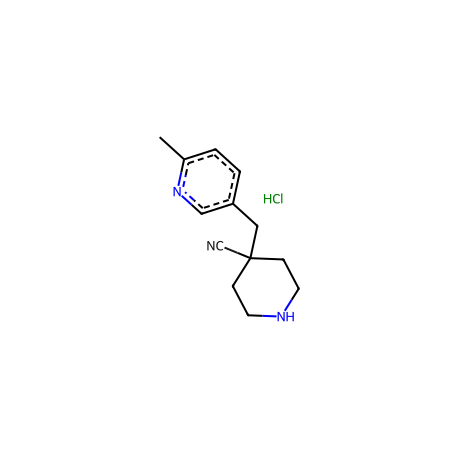 Cc1ccc(CC2(C#N)CCNCC2)cn1.Cl